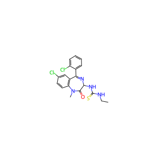 CCNC(=S)NC1N=C(c2ccccc2Cl)c2cc(Cl)ccc2N(C)C1=O